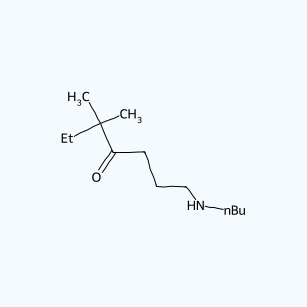 CCCCNCCCC(=O)C(C)(C)CC